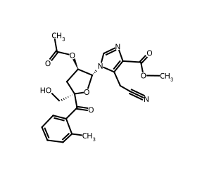 COC(=O)c1ncn([C@@H]2O[C@@](CO)(C(=O)c3ccccc3C)C[C@H]2OC(C)=O)c1CC#N